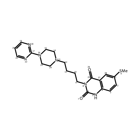 CSc1ccc2[nH]c(=O)n(CCCCN3CCN(c4ncccn4)CC3)c(=O)c2c1